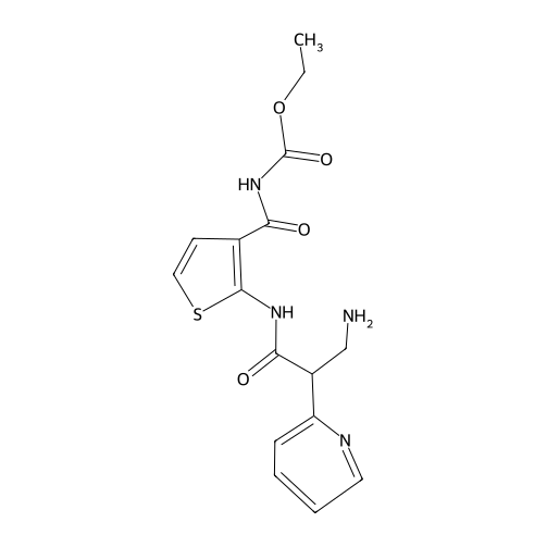 CCOC(=O)NC(=O)c1ccsc1NC(=O)C(CN)c1ccccn1